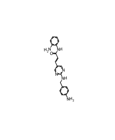 Nc1ccc(CNc2ncc(C=CC(=O)Nc3ccccc3N)cn2)cc1